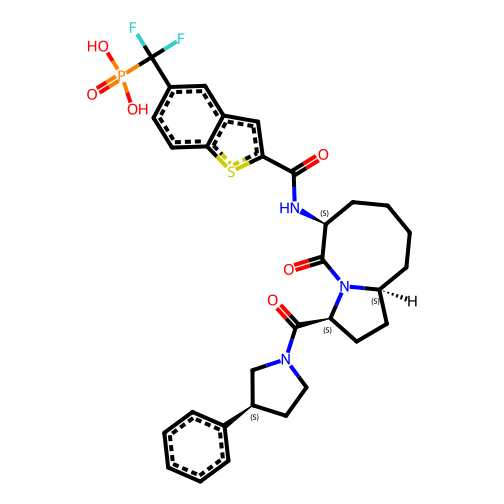 O=C(N[C@H]1CCCC[C@H]2CC[C@@H](C(=O)N3CC[C@@H](c4ccccc4)C3)N2C1=O)c1cc2cc(C(F)(F)P(=O)(O)O)ccc2s1